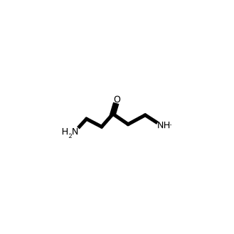 [NH]CCC(=O)CCN